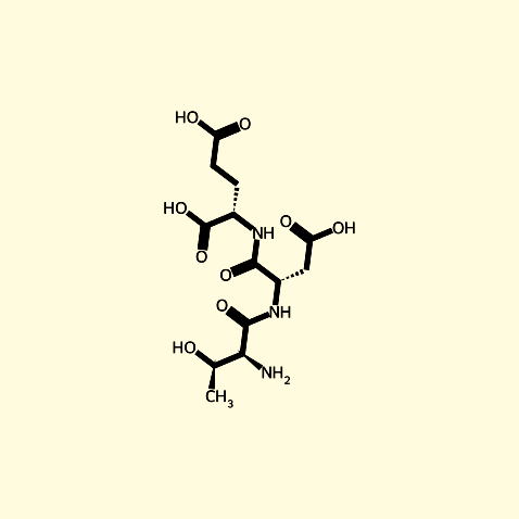 C[C@@H](O)[C@H](N)C(=O)N[C@@H](CC(=O)O)C(=O)N[C@@H](CCC(=O)O)C(=O)O